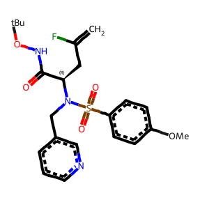 C=C(F)C[C@H](C(=O)NOC(C)(C)C)N(Cc1cccnc1)S(=O)(=O)c1ccc(OC)cc1